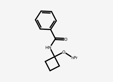 CCCOC1(NC(=O)c2ccccc2)CCC1